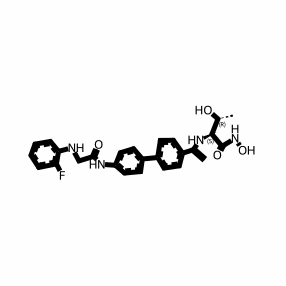 C=C(N[C@H](C(=O)NO)[C@@H](C)O)c1ccc(-c2ccc(NC(=O)CNc3ccccc3F)cc2)cc1